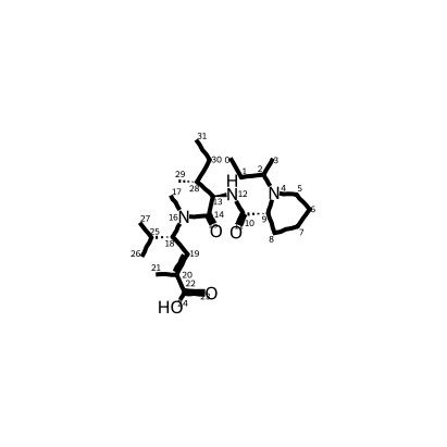 CCC(C)N1CCCC[C@@H]1C(=O)N[C@@H](C(=O)N(C)[C@H](/C=C(\C)C(=O)O)C(C)C)[C@H](C)CC